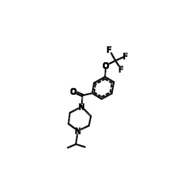 CC(C)N1CCN(C(=O)c2cccc(OC(F)(F)F)c2)CC1